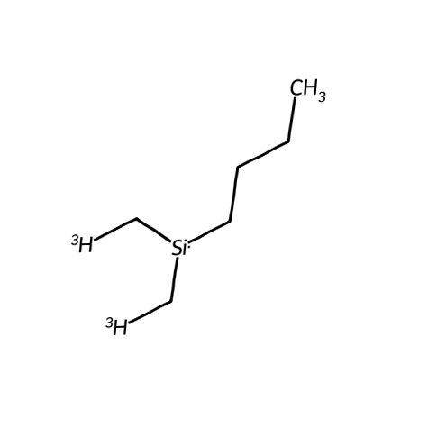 [3H]C[Si](C[3H])CCCC